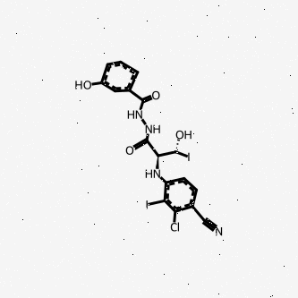 N#Cc1ccc(N[C@@H](C(=O)NNC(=O)c2cccc(O)c2)[C@H](O)I)c(I)c1Cl